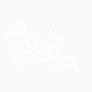 C=CC1=C(/C=C\C)C(C)(C)c2cc(C3(c4ccc(C(C)(C)C)cc4)C=Cc4c5c(c6ccc(F)cc6c4O3)-c3ccc(C)cc3C5(C)C)ccc21